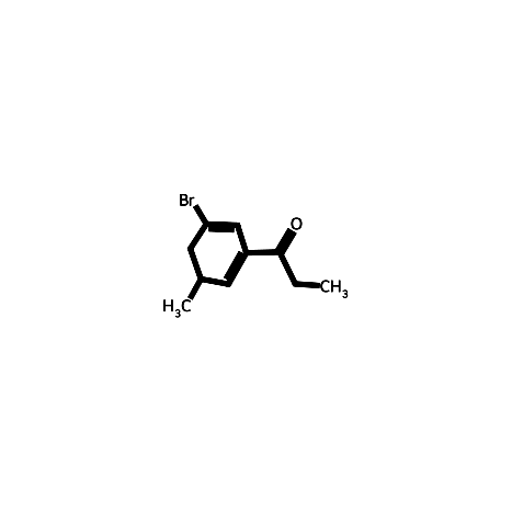 CCC(=O)C1=CC(C)CC(Br)=C1